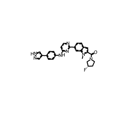 Cn1c(C(=O)N2CC[C@H](F)C2)cc2ccc(-c3nccc(Nc4ccc(-c5cn[nH]c5)cc4)n3)cc21